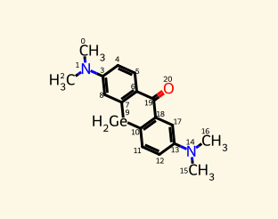 CN(C)c1ccc2[c](c1)[GeH2][c]1ccc(N(C)C)cc1C2=O